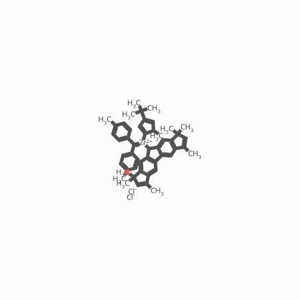 CC1=CC(C)(C)c2cc3c(cc21)-c1cc2c(cc1[CH]3[Zr+2]([C]1=CC(C(C)(C)C)=CC1C)=[C](c1ccc(C)cc1)c1ccc(C)cc1)C(C)(C)C=C2C.[Cl-].[Cl-]